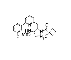 CSNC1CCN(C(=O)C2(C)CCC2)C1Cc1cccc(-c2cccc(F)c2)n1